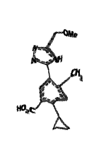 COCc1nnc(-c2cc(C(=O)O)c(C3CC3)cc2C)[nH]1